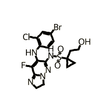 O=S(=O)(NC1=NN2CCN=C2C(F)=C1Nc1ccc(Br)cc1Cl)C1(CCO)CC1